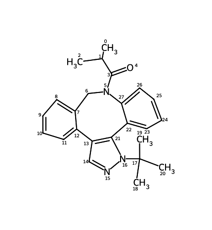 CC(C)C(=O)N1Cc2ccccc2-c2cnn(C(C)(C)C)c2-c2ccccc21